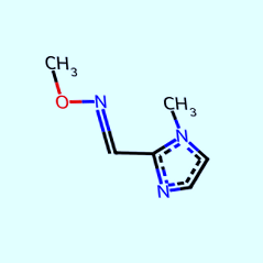 CO/N=C/c1nccn1C